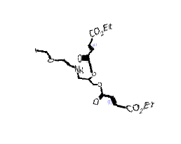 CCOC(=O)/C=C/C(=O)OCC(CNCCOCI)OC(=O)/C=C/C(=O)OCC